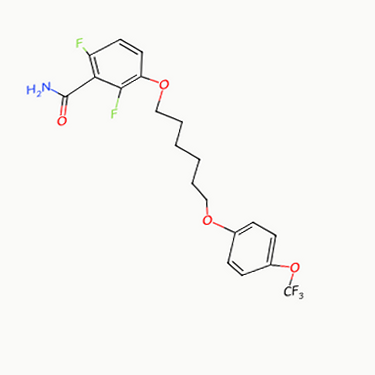 NC(=O)c1c(F)ccc(OCCCCCCOc2ccc(OC(F)(F)F)cc2)c1F